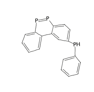 c1ccc(Pc2ccc3ppc4ccccc4c3c2)cc1